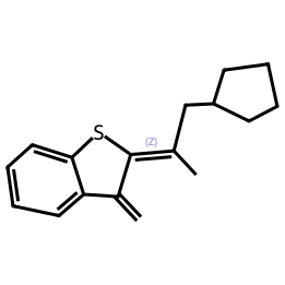 C=c1/c(=C(\C)CC2CCCC2)sc2ccccc12